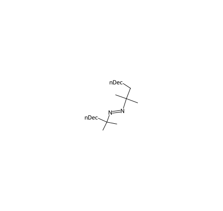 CCCCCCCCCCCC(C)(C)N=NC(C)(C)CCCCCCCCCC